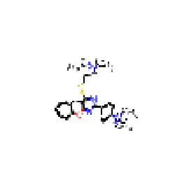 CN(C)CCCSc1nc(-c2ccc(N(C)C)cc2)nc2c1Cc1ccccc1O2